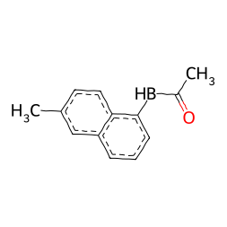 CC(=O)Bc1cccc2cc(C)ccc12